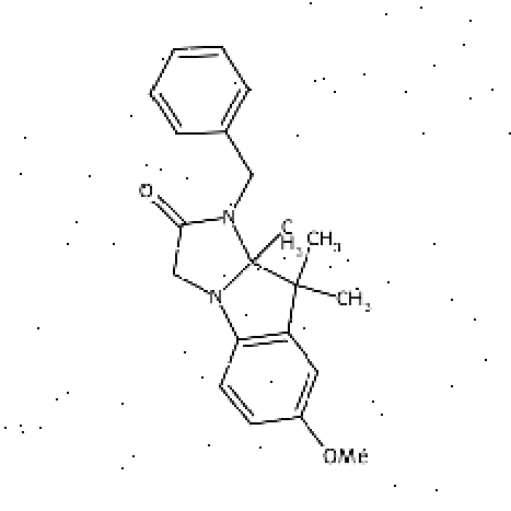 COc1ccc2c(c1)C(C)(C)C1(C)N(Cc3ccccc3)C(=O)CN21